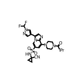 CC(C)C(=O)N1CCN(c2cc(S(=O)(=O)NC3(C#N)CC3)cn3c(-c4cnn(C(F)F)c4)cnc23)CC1